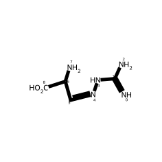 N=C(N)N/N=C\C(N)C(=O)O